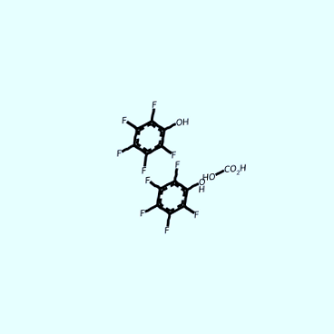 O=C(O)O.Oc1c(F)c(F)c(F)c(F)c1F.Oc1c(F)c(F)c(F)c(F)c1F